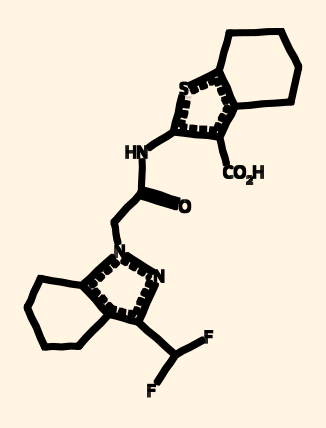 O=C(Cn1nc(C(F)F)c2c1CCCC2)Nc1sc2c(c1C(=O)O)CCCC2